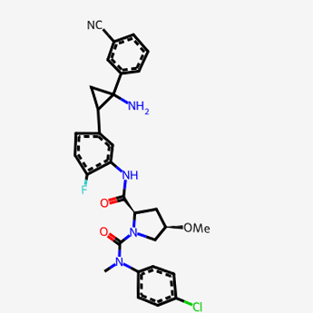 CO[C@@H]1C[C@H](C(=O)Nc2cc(C3CC3(N)c3cccc(C#N)c3)ccc2F)N(C(=O)N(C)c2ccc(Cl)cc2)C1